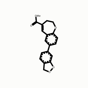 COC(=O)C1=Cc2cc(-c3ccc4c(c3)OOC4)ccc2OCC1